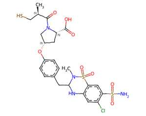 C[C@H](CS)C(=O)N1C[C@@H](Oc2ccc(CC3Nc4cc(Cl)c(S(N)(=O)=O)cc4S(=O)(=O)N3C)cc2)C[C@H]1C(=O)O